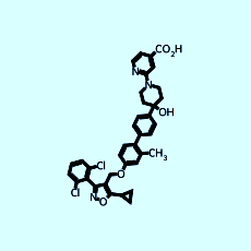 Cc1cc(OCc2c(-c3c(Cl)cccc3Cl)noc2C2CC2)ccc1-c1ccc(C2(O)CCN(c3cc(C(=O)O)ccn3)CC2)cc1